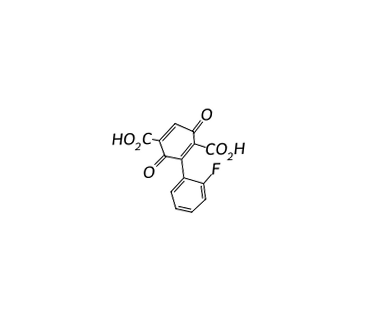 O=C(O)C1=CC(=O)C(C(=O)O)=C(c2ccccc2F)C1=O